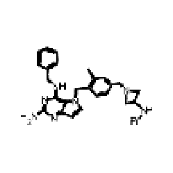 Cc1cc(CN2CC(N(C)C(C)C)C2)ccc1Cn1ccc2nc(N)nc(NCc3ccccc3)c21